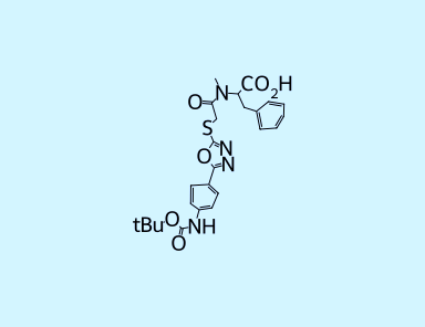 CN(C(=O)CSc1nnc(-c2ccc(NC(=O)OC(C)(C)C)cc2)o1)C(Cc1ccccc1)C(=O)O